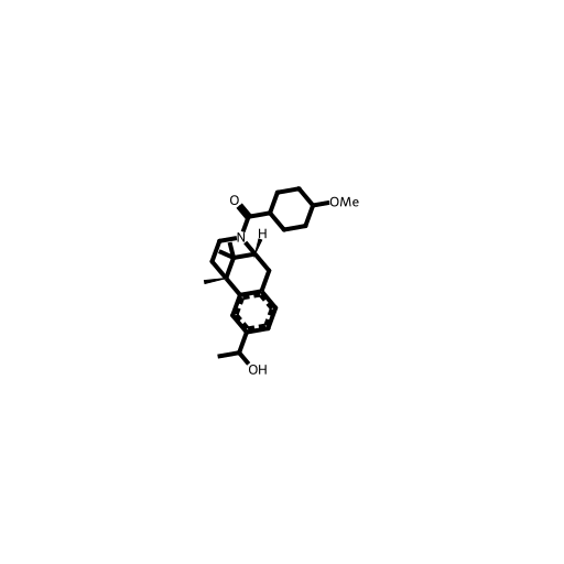 COC1CCC(C(=O)N2CC[C@@]3(C)c4cc(C(C)O)ccc4C[C@@H]2C3(C)C)CC1